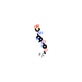 Cc1c(NC(=O)c2ccc(OCCC(F)(F)F)cc2)ccc2cc(CNC3CCS(=O)(=O)CC3)cnc12